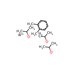 CC(C)[O-].CC(C)[O-].CC(C)[O-].Cc1ccccc1C.[Al+3]